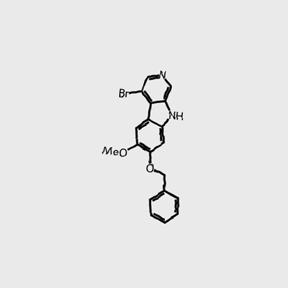 COc1cc2c(cc1OCc1ccccc1)[nH]c1cncc(Br)c12